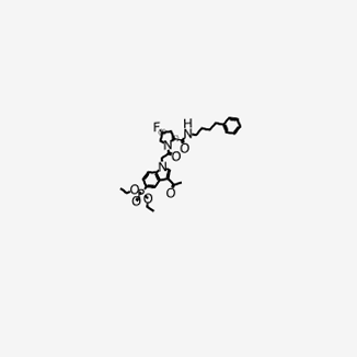 CCOP(=O)(OCC)c1ccc2c(c1)c(C(C)=O)cn2CC(=O)N1C[C@H](F)C[C@H]1C(=O)NCCCCc1ccccc1